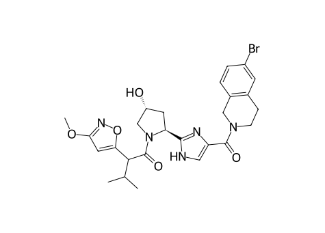 COc1cc(C(C(=O)N2C[C@H](O)C[C@H]2c2nc(C(=O)N3CCc4cc(Br)ccc4C3)c[nH]2)C(C)C)on1